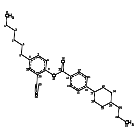 CCCCCCc1ccc(OC(=O)c2ccc(C3CCC(CCC)CC3)cc2)c(C#N)c1